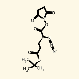 CC(C)(C)OC(=O)CC[C@H](N=[N+]=[N-])C(=O)ON1C(=O)CCC1=O